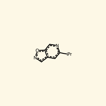 CC(C)c1cc2cnoc2cn1